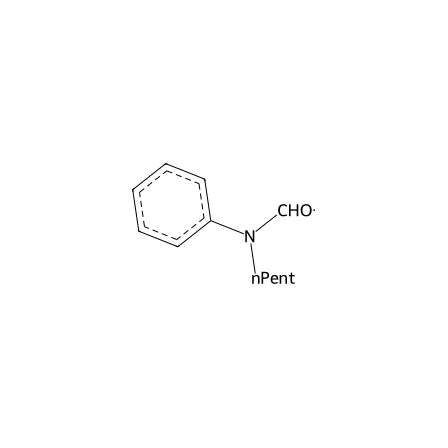 CCCCCN([C]=O)c1ccccc1